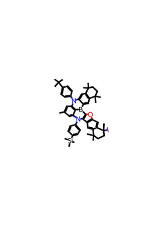 Cc1cc2c3c(c1)N(c1ccc([Si](C)(C)C)cc1)c1c(oc4cc5c(cc14)C(C)(C)CCC5(C)I)B3c1cc3c(cc1N2c1ccc(C(C)(C)C)cc1)C(C)(C)CCC3(C)C